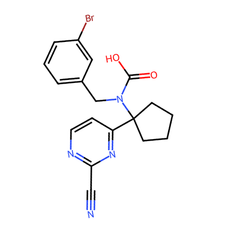 N#Cc1nccc(C2(N(Cc3cccc(Br)c3)C(=O)O)CCCC2)n1